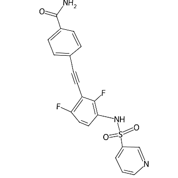 NC(=O)c1ccc(C#Cc2c(F)ccc(NS(=O)(=O)c3cccnc3)c2F)cc1